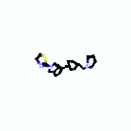 C1=C(c2ccc(CCN3CCCC3)cc2)C2CN(C3=NCCS3)CC2C1